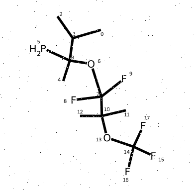 CC(C)C(C)(P)OC(F)(F)C(C)(C)OC(F)(F)F